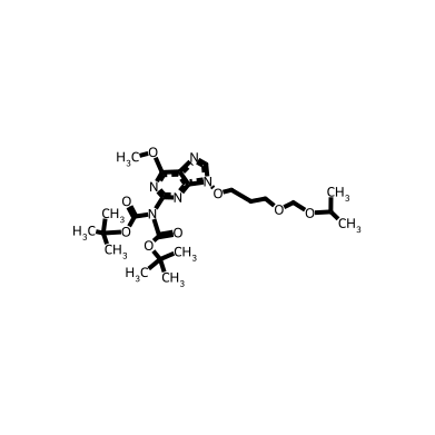 COc1nc(N(C(=O)OC(C)(C)C)C(=O)OC(C)(C)C)nc2c1ncn2OCCCOCOC(C)C